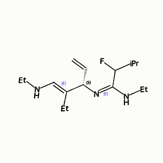 C=C[C@H](/N=C(/NCC)C(F)C(C)C)/C(=C/NCC)CC